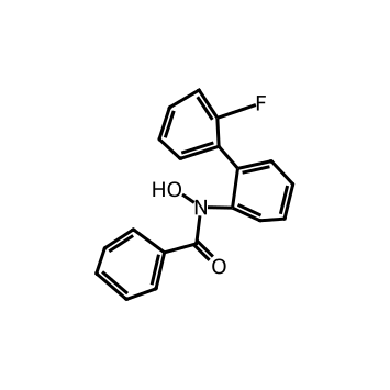 O=C(c1ccccc1)N(O)c1ccccc1-c1ccccc1F